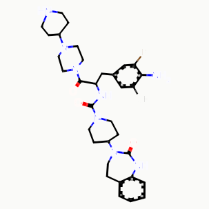 Nc1c(Br)cc(CC(NC(=O)N2CCC(N3CCc4ccccc4NC3=O)CC2)C(=O)N2CCN(C3CCNCC3)CC2)cc1C(F)(F)F